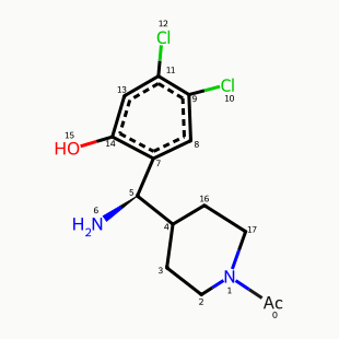 CC(=O)N1CCC([C@@H](N)c2cc(Cl)c(Cl)cc2O)CC1